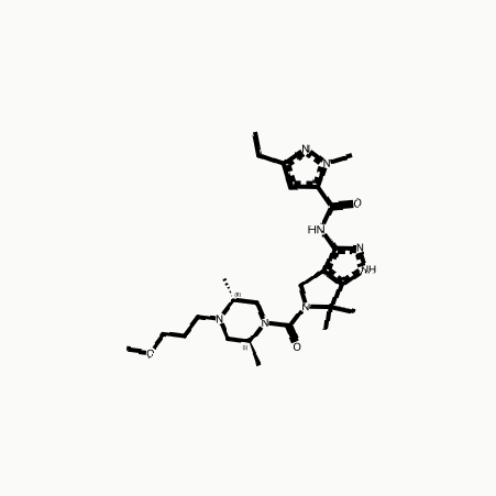 CCc1cc(C(=O)Nc2n[nH]c3c2CN(C(=O)N2C[C@@H](C)N(CCCOC)C[C@@H]2C)C3(C)C)n(C)n1